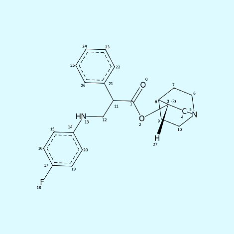 O=C(O[C@H]1CN2CCC1CC2)C(CNc1ccc(F)cc1)c1ccccc1